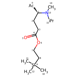 CC(=O)[C@H](CCC(=O)OCC[Si](C)(C)C)N(C)C(C)C